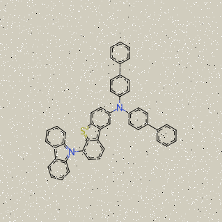 c1ccc(-c2ccc(N(c3ccc(-c4ccccc4)cc3)c3ccc4sc5c(-n6c7ccccc7c7ccccc76)cccc5c4c3)cc2)cc1